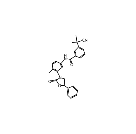 Cc1ccc(NC(=O)c2cccc(C(C)(C)C#N)c2)cc1N1CC(c2ccccc2)OC1=O